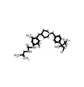 C=C(C)CNC(=O)Nc1cc(C)c(CC2CCN(Cc3ccc(C(O)(CF)C(F)(F)F)cc3)CC2)cc1F